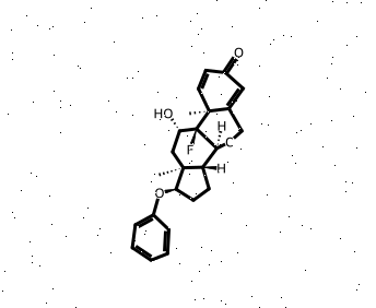 C[C@]12C[C@H](O)[C@@]3(F)[C@@H](CCC4=CC(=O)C=C[C@@]43C)[C@@H]1CC[C@H]2Oc1ccccc1